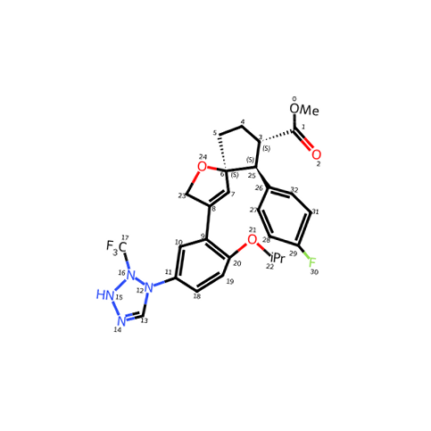 COC(=O)[C@H]1CC[C@@]2(C=C(c3cc(N4C=NNN4C(F)(F)F)ccc3OC(C)C)CO2)[C@@H]1c1ccc(F)cc1